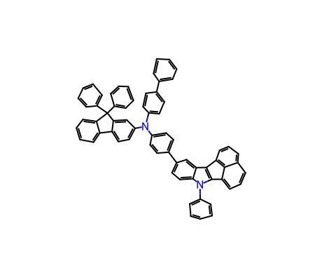 c1ccc(-c2ccc(N(c3ccc(-c4ccc5c(c4)c4c(n5-c5ccccc5)-c5cccc6cccc-4c56)cc3)c3ccc4c(c3)C(c3ccccc3)(c3ccccc3)c3ccccc3-4)cc2)cc1